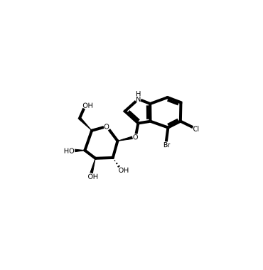 OC[C@H]1O[C@@H](Oc2c[nH]c3ccc(Cl)c(Br)c23)[C@H](O)[C@@H](O)[C@H]1O